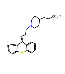 CCOC(=O)CCC1CCN(CCC=C2c3ccccc3Sc3ccccc32)CC1